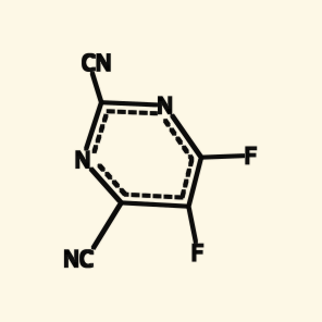 N#Cc1nc(F)c(F)c(C#N)n1